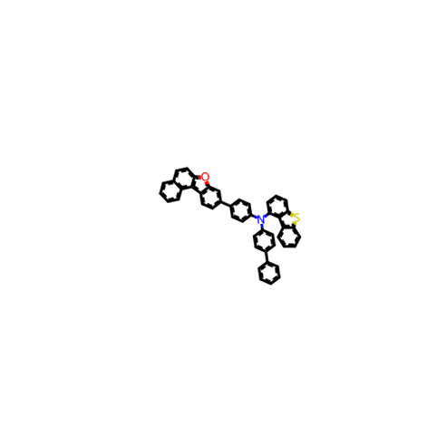 c1ccc(-c2ccc(N(c3ccc(-c4ccc5c(c4)oc4ccc6ccccc6c45)cc3)c3cccc4sc5ccccc5c34)cc2)cc1